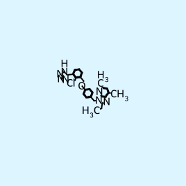 CCc1nc2c(C)cc(C)nc2n1Cc1ccc(OCc2cccc(-c3nnn[nH]3)c2Cl)cc1